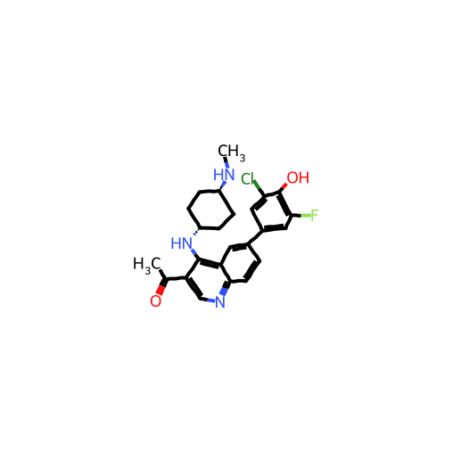 CN[C@H]1CC[C@H](Nc2c(C(C)=O)cnc3ccc(-c4cc(F)c(O)c(Cl)c4)cc23)CC1